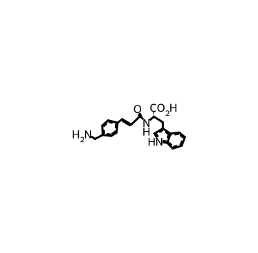 NCc1ccc(C=CC(=O)N[C@@H](Cc2c[nH]c3ccccc23)C(=O)O)cc1